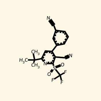 CC(C)(C)c1cc(-c2cccc(C#N)c2)c(C#N)c(S(=O)(=O)C(F)(F)F)n1